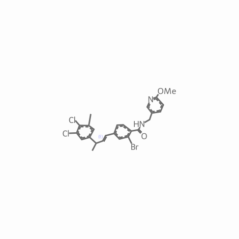 COc1ccc(CNC(=O)c2ccc(/C=C/C(C)c3cc(C)c(Cl)c(Cl)c3)cc2Br)cn1